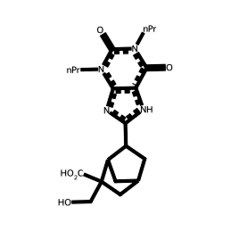 CCCn1c(=O)c2[nH]c(C3CC4CC3C(CO)(C(=O)O)C4)nc2n(CCC)c1=O